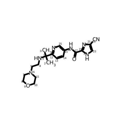 CC(C)(NCCN1CCOCC1)c1ccc(NC(=O)c2nc(C#N)c[nH]2)cn1